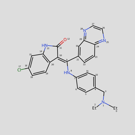 CCN(CC)Cc1ccc(NC(=C2C(=O)Nc3cc(Cl)ccc32)c2ccc3nccnc3c2)cc1